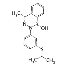 CC1=NN(c2cccc(SC(C)C)c2)B(O)c2ccccc21